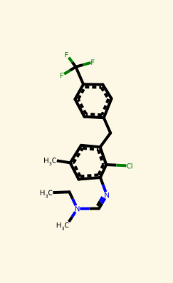 CCN(C)/C=N\c1cc(C)cc(Cc2ccc(C(F)(F)F)cc2)c1Cl